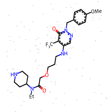 CCN(C(=O)COCCCNc1cnn(Cc2ccc(OC)cc2)c(=O)c1C(F)(F)F)C1CCNCC1